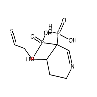 O=P(O)(O)C1(P(=O)(O)O)C=NCCC1CCC=S